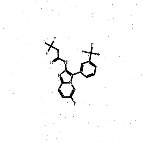 O=C(CC(F)(F)F)Nc1nc2ccc(F)cn2c1-c1cccc(C(F)(F)F)c1